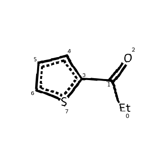 [CH2]CC(=O)c1cccs1